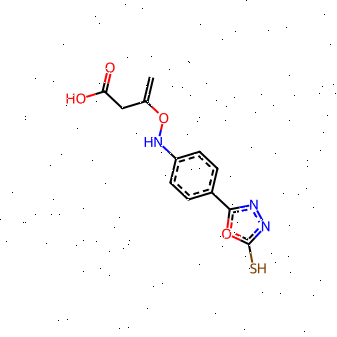 C=C(CC(=O)O)ONc1ccc(-c2nnc(S)o2)cc1